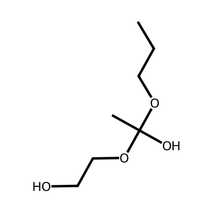 CCCOC(C)(O)OCCO